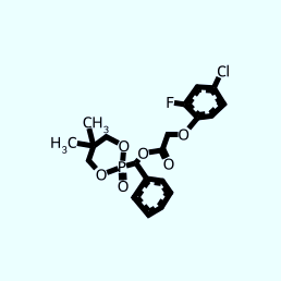 CC1(C)COP(=O)(C(OC(=O)COc2ccc(Cl)cc2F)c2ccccc2)OC1